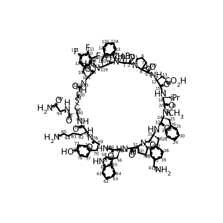 CCCC[C@H]1C(=O)N2CCC[C@@H]2C(=O)N[C@@H](CC(=O)O)C(=O)N[C@@H](C(C)C)C(=O)N(C)[C@@H](Cc2ccccc2)C(=O)N[C@@H](Cc2ccc(CN)cc2)C(=O)N2CCC[C@@H]2C(=O)N[C@@H](Cc2c[nH]c3ccccc23)C(=O)N[C@@H](Cc2ccc(O)cc2)C(=O)N[C@@H](CCCCN)C(=O)N[C@H](C(=O)NCC(N)=O)CSCC(=O)N[C@@H](Cc2cc(F)c(F)c(F)c2)C(=O)N(C)[C@@H](Cc2ccccc2)C(=O)N1C